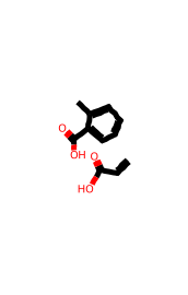 C=CC(=O)O.Cc1ccccc1C(=O)O